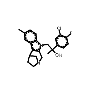 Cc1ccc2c(c1)c1c(n2CC(C)(O)c2ccc(F)c(Cl)c2)CN2CCC1C2